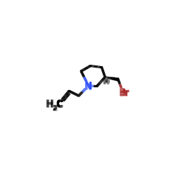 C=CCN1CCC[C@@H](CBr)C1